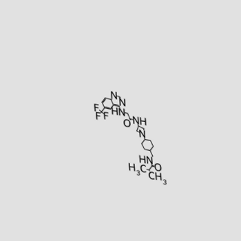 CC(C)C(=O)NCC1CCC(N2CC(NC(=O)CNc3ncnc4ccc(C(F)(F)F)cc34)C2)CC1